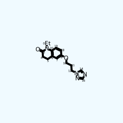 CCN1C(=O)CCc2cc(OCCCn3cncn3)ccc21